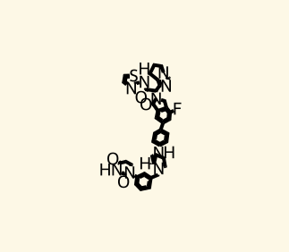 O=C1CCN(c2cccc(CN3C[C@H]4C[C@@H]3CN4c3ccc(-c4cc(F)c5c(c4)C(=O)N(C(C(=O)Nc4nccs4)c4ncn6c4CCC6)C5)cc3)c2)C(=O)N1